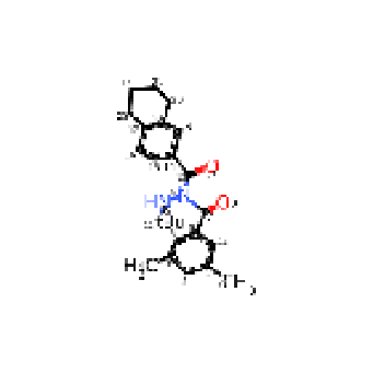 Cc1cc(C)cc(C(=O)N(NC(C)(C)C)C(=O)c2ccc3c(c2)CCCC3)c1